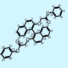 O=C(COc1ccc2ccccc2c1-c1c(OCC(=O)Oc2ccccc2)ccc2ccccc12)Oc1ccccc1